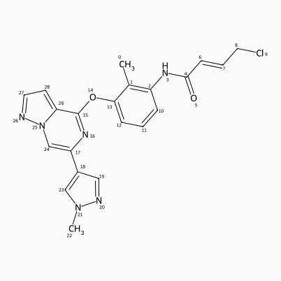 Cc1c(NC(=O)/C=C/CCl)cccc1Oc1nc(-c2cnn(C)c2)cn2nccc12